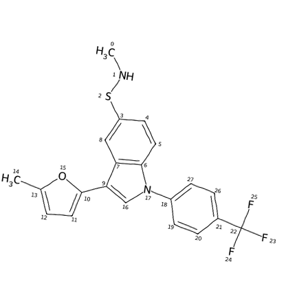 CNSc1ccc2c(c1)c(-c1ccc(C)o1)cn2-c1ccc(C(F)(F)F)cc1